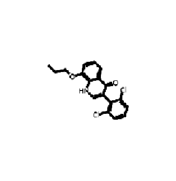 CCCOc1cccc2c(=O)c(-c3c(Cl)cccc3Cl)c[nH]c12